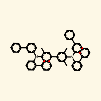 Cc1cc(-c2cc(C)c(N(c3cccc(-c4ccccc4)c3)c3ccccc3-c3ccccc3)c(C)c2)cc(C)c1N(c1cccc(-c2ccccc2)c1)c1ccccc1-c1ccccc1